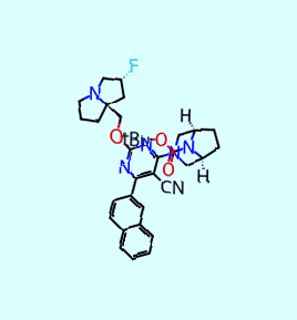 CC(C)(C)OC(=O)N1[C@@H]2CC[C@H]1CN(c1nc(OC[C@@]34CCCN3C[C@H](F)C4)nc(-c3ccc4ccccc4c3)c1C#N)C2